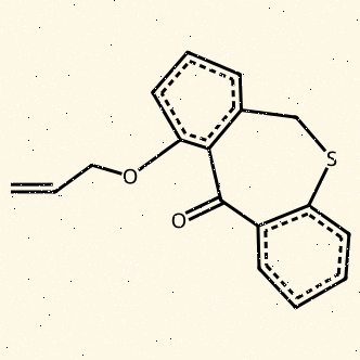 C=CCOc1cccc2c1C(=O)c1ccccc1SC2